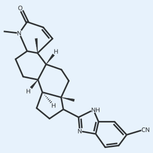 CN1C(=O)C=C[C@@]2(C)C1CC[C@@H]1[C@H]2CC[C@]2(C)C(c3nc4ccc(C#N)cc4[nH]3)CC[C@@H]12